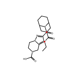 CCOC(=O)C1CC2CCCC(C1)N2C(=O)c1cc2n(n1)CCN(C(=O)O)C2